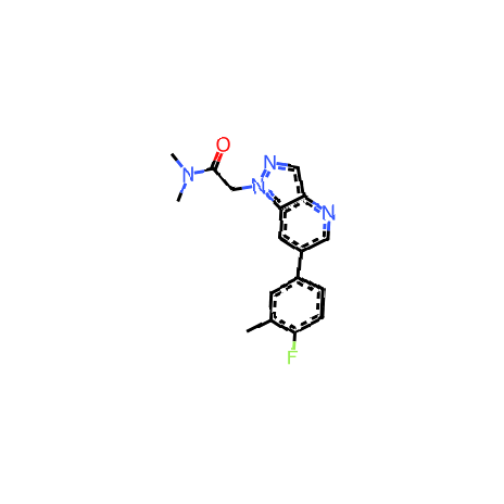 Cc1cc(-c2cnc3cnn(CC(=O)N(C)C)c3c2)ccc1F